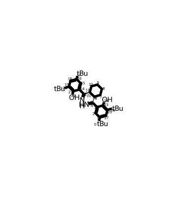 CC(C)(C)c1cc(C(=N)[C@H]2CCCC[C@@H]2C(=N)c2cc(C(C)(C)C)cc(C(C)(C)C)c2O)c(O)c(C(C)(C)C)c1